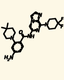 CC1(C)CCN(c2cc(N)ccc2C(=O)Nc2cn3ccnc3c(N3CCC(F)(F)CC3)n2)CC1